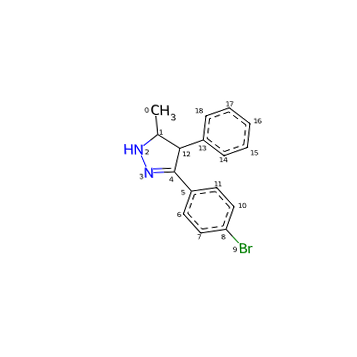 CC1NN=C(c2ccc(Br)cc2)C1c1ccccc1